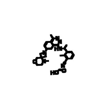 Cc1c(C#N)cccc1C(C)Nc1nnc(C)c2ccc(N3CC4(COCCN4C)C3)cc12.O=CO